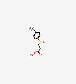 CC(C)(C)OC(=O)CC[S+]([O-])c1ccc(C(F)(F)F)cc1